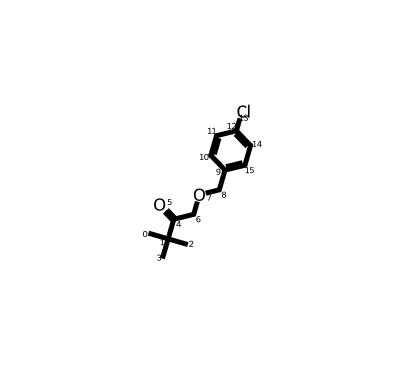 CC(C)(C)C(=O)COCc1ccc(Cl)cc1